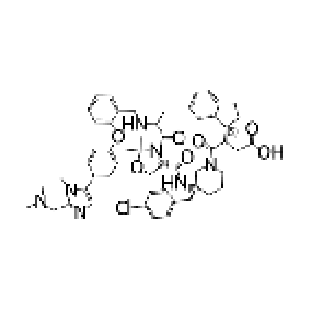 CC(NCc1ccccc1Oc1ccc(-c2cnc(CN(C)C)n2C)cc1)C(=O)N1[C@H](C(=O)N[C@@]2(Cc3ccc(Cl)cc3)CCCN(C(=O)C(CC(=O)O)[C@@H]3CCc4ccccc43)C2)COC1(C)C